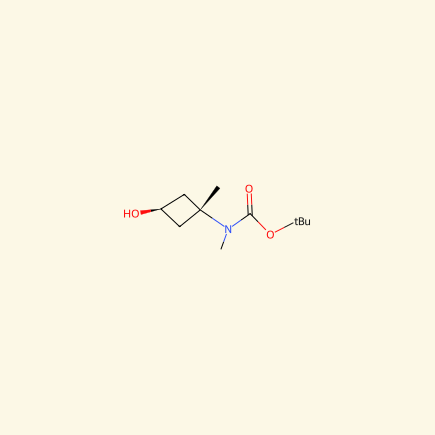 CN(C(=O)OC(C)(C)C)[C@]1(C)C[C@@H](O)C1